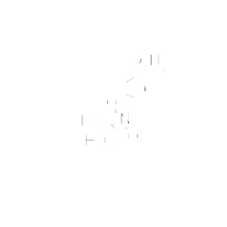 C=Cc1ccc(CN2C(=O)C(C)=C(C)C2=O)cc1